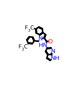 O=C(Nc1cnc2[nH]ccc2c1)c1cc2ccc(C(F)(F)F)cc2n1Cc1cccc(C(F)(F)F)c1